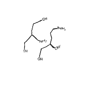 NC(CO)CO.NCC(O)CO